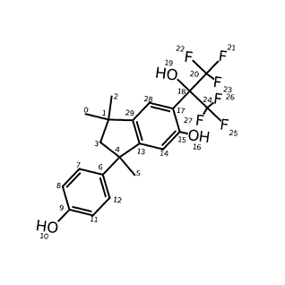 CC1(C)CC(C)(c2ccc(O)cc2)c2cc(O)c(C(O)(C(F)(F)F)C(F)(F)F)cc21